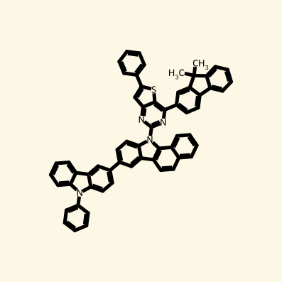 CC1(C)c2ccccc2-c2ccc(-c3nc(-n4c5ccc(-c6ccc7c(c6)c6ccccc6n7-c6ccccc6)cc5c5ccc6ccccc6c54)nc4cc(-c5ccccc5)sc34)cc21